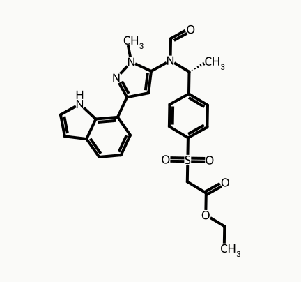 CCOC(=O)CS(=O)(=O)c1ccc([C@@H](C)N(C=O)c2cc(-c3cccc4cc[nH]c34)nn2C)cc1